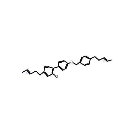 C/C=C/CCc1ccc(COc2ccc(-c3ccc(CC/C=C/C)cc3Cl)cc2)cc1